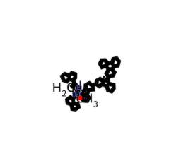 C=C(/N=C(\N=C(/C)c1cccc2ccccc12)n1c2ccccc2c2cc(-c3ccc4c(c3)c3ccccc3n4-c3ccc4c5ccccc5c5ccccc5c4c3)ccc21)c1cccc2ccccc12